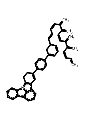 C=C/C=C\C(=C)C(=C)/C=C\C(=C)C(=C)/C=C\C=C\C1C=CC=C(c2ccc(C3=Cc4c(n5c6ccccc6c6cccc4c65)CC3)cc2)C1